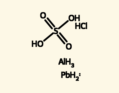 Cl.O=S(=O)(O)O.[AlH3].[PbH2]